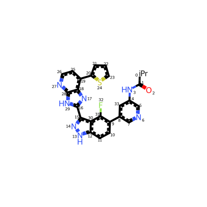 CC(C)C(=O)Nc1cncc(-c2ccc3[nH]nc(-c4nc5c(-c6cccs6)ccnc5[nH]4)c3c2F)c1